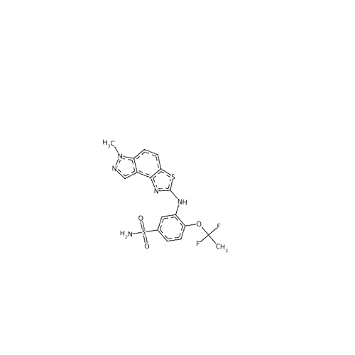 Cn1ncc2c3nc(Nc4cc(S(N)(=O)=O)ccc4OC(C)(F)F)sc3ccc21